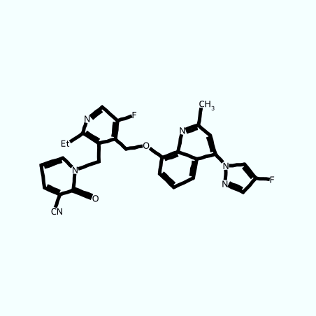 CCc1ncc(F)c(COc2cccc3c(-n4cc(F)cn4)cc(C)nc23)c1Cn1cccc(C#N)c1=O